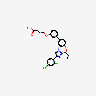 CCC(Oc1ccc(-c2cccc(OCCCC(=O)O)c2)cc1)c1nc(-c2ccc(Cl)cc2Cl)c[nH]1